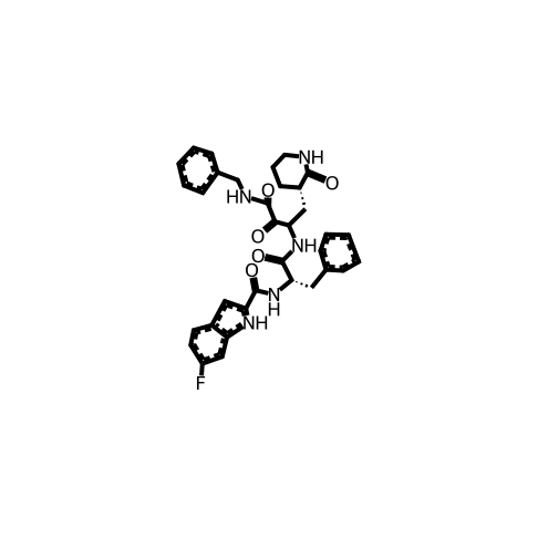 O=C(NCc1ccccc1)C(=O)C(C[C@@H]1CCCNC1=O)NC(=O)[C@H](Cc1ccccc1)NC(=O)c1cc2ccc(F)cc2[nH]1